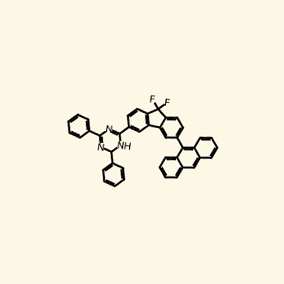 FC1(F)c2ccc(C3=NC(c4ccccc4)=NC(c4ccccc4)N3)cc2-c2cc(-c3c4ccccc4cc4ccccc34)ccc21